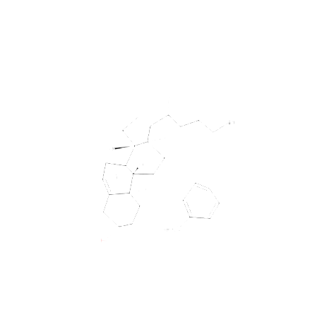 CC(C)CCC[C@@H](C)[C@H]1CC[C@H]2[C@@H]3CC=C4C[C@@H](O)CC[C@]4(C)[C@H]3CC[C@]12C.O=C(O)c1ccccc1